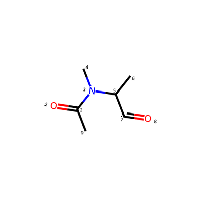 CC(=O)N(C)C(C)[C]=O